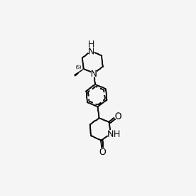 C[C@H]1CNCCN1c1ccc(C2CCC(=O)NC2=O)cc1